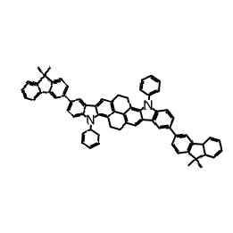 CC1(C)c2ccccc2-c2cc(-c3ccc4c(c3)c3cc5c6c(c3n4C3C=CC=CC3)CCc3cc4c7cc(-c8ccc9c(c8)C8C=CC=CC8C9(C)C)ccc7n(-c7ccccc7)c4c(c3-6)CC5)ccc21